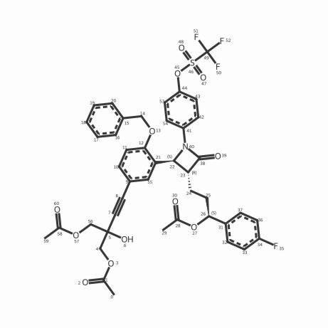 CC(=O)OCC(O)(C#Cc1ccc(OCc2ccccc2)c([C@@H]2[C@@H](CC[C@H](OC(C)=O)c3ccc(F)cc3)C(=O)N2c2ccc(OS(=O)(=O)C(F)(F)F)cc2)c1)COC(C)=O